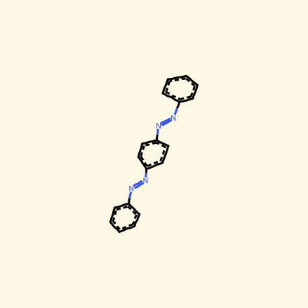 c1ccc(N=Nc2ccc(N=Nc3ccccc3)cc2)cc1